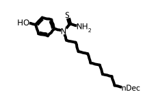 CCCCCCCCCCCCCCCCCCCN(C(N)=S)c1ccc(O)cc1